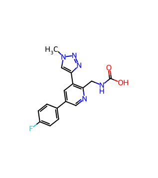 Cn1cc(-c2cc(-c3ccc(F)cc3)cnc2CNC(=O)O)nn1